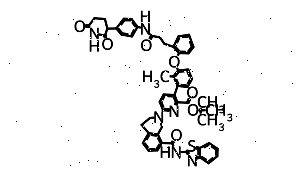 Cc1c(Oc2ccccc2CCC(=O)Nc2ccc(C3CCC(=O)NC3=O)cc2)cccc1-c1ccc(N2CCc3cccc(C(=O)Nc4nc5ccccc5s4)c3C2)nc1C(=O)OC(C)(C)C